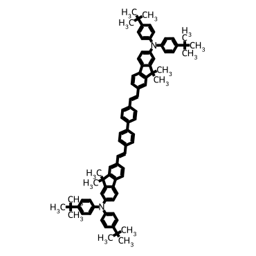 CC(C)(C)c1ccc(N(c2ccc(C(C)(C)C)cc2)c2ccc3c(c2)C(C)(C)c2cc(/C=C/c4ccc(-c5ccc(/C=C/c6ccc7c(c6)C(C)(C)c6cc(N(c8ccc(C(C)(C)C)cc8)c8ccc(C(C)(C)C)cc8)ccc6-7)cc5)cc4)ccc2-3)cc1